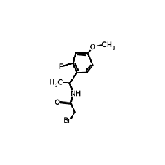 COc1ccc([C@H](C)NC(=O)CBr)c(F)c1